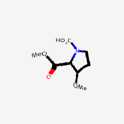 COC(=O)C1C(OC)CCN1C(=O)O